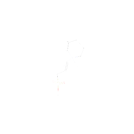 C[N+]1(/C=C/CS(=O)(=O)[O-])CCCCC1